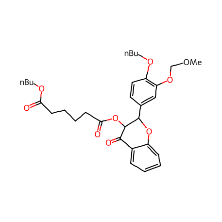 CCCCOC(=O)CCCCC(=O)OC1C(=O)c2ccccc2OC1c1ccc(OCCCC)c(OCOC)c1